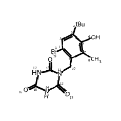 CCc1cc(C(C)(C)C)c(O)c(C)c1Cn1c(=O)[nH]c(=O)[nH]c1=O